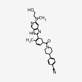 CC1=C(c2nc3cc(N(C)CCO)ncc3[nH]2)CC(C(=O)N2CCC(c3ccc(C#N)cc3)CC2)C=C1